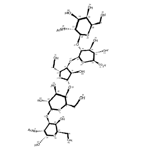 CC(=O)N[C@@H]1[C@@H](O[C@@H]2O[C@H](CO)[C@H](O[C@@H]3O[C@H](CO)[C@@H](O[C@@H]4O[C@H](C(=O)O)[C@@H](O)[C@H](O)[C@H]4O[C@@H]4O[C@H](CO)[C@H](O)[C@H](O)[C@H]4NC(C)=O)[C@H]3O)[C@H](O)[C@H]2O)[C@@H](O)[C@@H](CO)O[C@@H]1O